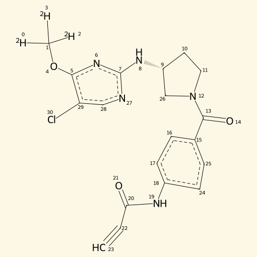 [2H]C([2H])([2H])Oc1nc(N[C@@H]2CCN(C(=O)c3ccc(NC(=O)C#C)cc3)C2)ncc1Cl